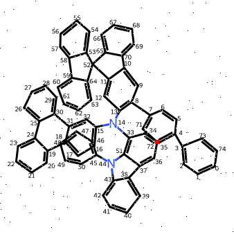 c1ccc(-c2ccc(-c3cc4c(cc3N(c3ccc5c6ccccc6c6ccccc6c5c3)c3cccc5c6ccccc6n(-c6ccccc6)c35)C3(c5ccccc5-c5ccccc53)c3ccccc3-4)cc2)cc1